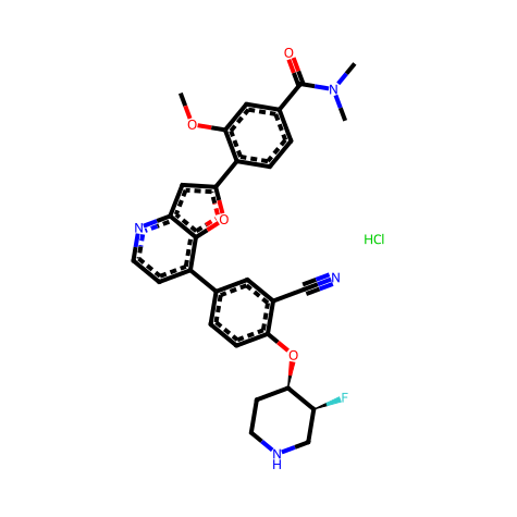 COc1cc(C(=O)N(C)C)ccc1-c1cc2nccc(-c3ccc(O[C@@H]4CCNC[C@@H]4F)c(C#N)c3)c2o1.Cl